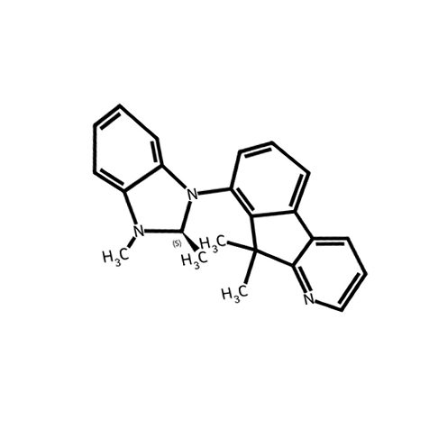 C[C@H]1N(C)c2ccccc2N1c1cccc2c1C(C)(C)c1ncccc1-2